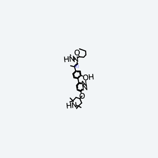 CNN(/C=C(\C)c1ccc(-c2ccc(OC3CC(C)(C)NC(C)(C)C3)nn2)c(O)c1)C1CCCCO1